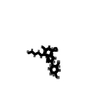 CCCCCn1c(C)cc(=O)n2cc(-c3ccc(C)cc3C)nc12